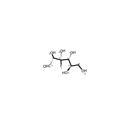 O=C[C@H](O)[C@](O)(F)[C@H](O)[C@H](O)CO